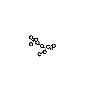 c1ccc(-c2cccc(N(c3ccc(-c4ccc5c(ccc6c7ccccc7n(-c7ccccc7)c56)c4)cc3)c3ccc4c(c3)oc3ccccc34)c2)cc1